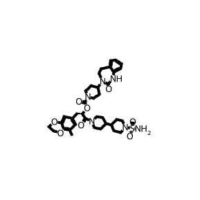 Cc1cc(C[C@@H](OC(=O)N2CCC(N3CCc4ccccc4NC3=O)CC2)C(=O)N2CCC(C3CCN(S(N)(=O)=O)CC3)CC2)cc2c1OCCO2